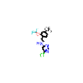 FC(F)Oc1cc(C(F)(F)F)ccc1CCNc1cc(Cl)ncn1